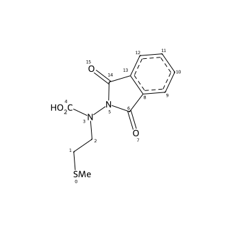 CSCCN(C(=O)O)N1C(=O)c2ccccc2C1=O